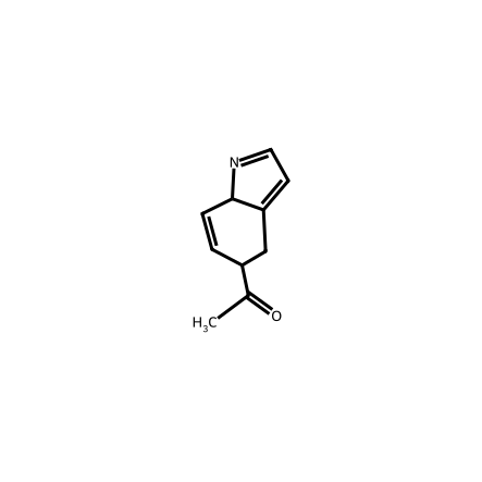 CC(=O)C1C=CC2N=CC=C2C1